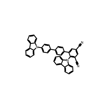 N#Cc1cc(C#N)c(-n2c3ccccc3c3ccccc32)c(-c2ccc(-c3ccc(-n4c5ccccc5c5ccccc54)cc3)cc2)c1